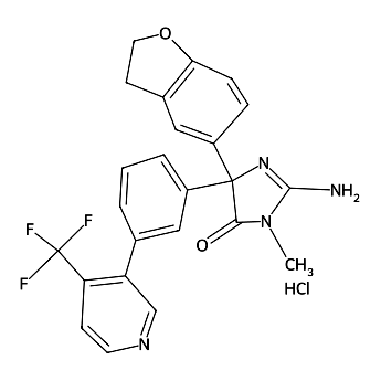 CN1C(=O)C(c2cccc(-c3cnccc3C(F)(F)F)c2)(c2ccc3c(c2)CCO3)N=C1N.Cl